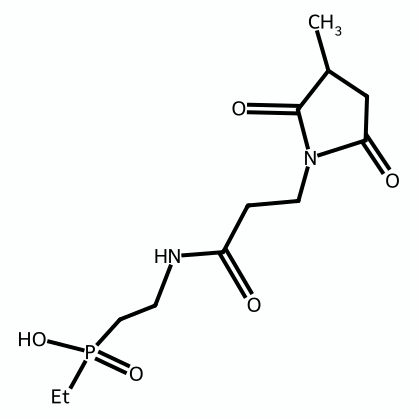 CCP(=O)(O)CCNC(=O)CCN1C(=O)CC(C)C1=O